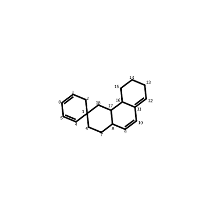 C1=CCC2(C=C1)CCC1C=CC3=CCCCC3C1C2